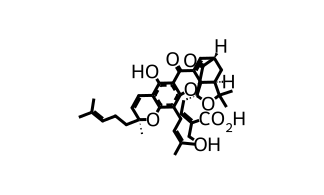 CC(C)=CCC[C@@]1(C)C=Cc2c(O)c3c(c(CC=C(C)C)c2O1)O[C@]12C(=C[C@@H]4C[C@H]1C(C)(C)O[C@@]2(C/C=C(/CO)C(=O)O)C4=O)C3=O